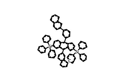 c1ccc([Si](c2ccccc2)(c2ccccc2)c2ccc3c(-c4cccc(-c5ccc6ccccc6c5)c4)c4ccc([Si](c5ccccc5)(c5ccccc5)c5ccccc5)cc4c(-c4ccc5ccccc5c4)c3c2)cc1